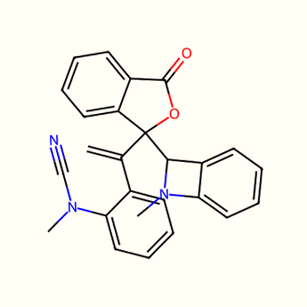 C=C(c1ccccc1N(C)C#N)C1(C2c3ccccc3N2C)OC(=O)c2ccccc21